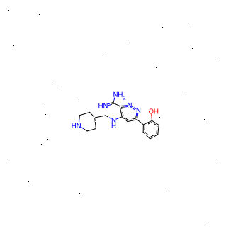 N=C(N)c1nnc(-c2ccccc2O)cc1NCC1CCNCC1